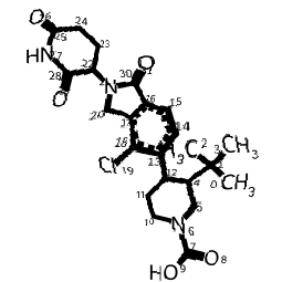 CC(C)(C)C1CN(C(=O)O)CCC1c1ccc2c(c1Cl)CN(C1CCC(=O)NC1=O)C2=O